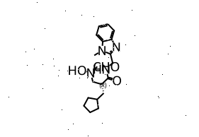 Cn1c(CNC(=O)[C@H](CC2CCCC2)CN(O)C=O)nc2ccccc21